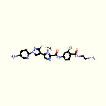 Cn1c(-c2cn(-c3ccc(N)cn3)nc2C(F)(F)F)cnc1C(=O)Nc1ccc(C(=O)NCCN)c(Cl)c1